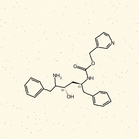 NC(Cc1ccccc1)[C@@H](O)C[C@H](Cc1ccccc1)NC(=O)OCc1cccnc1